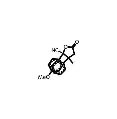 COc1ccc([C@]2(C#N)OC(=O)CC2(C)c2ccccc2)cc1